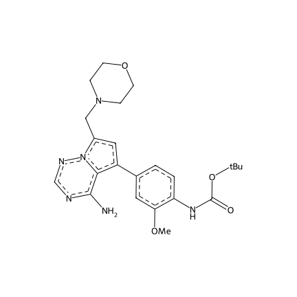 COc1cc(-c2cc(CN3CCOCC3)n3ncnc(N)c23)ccc1NC(=O)OC(C)(C)C